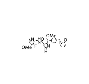 COCC(c1ccc(Cn2ccccc2=O)cc1)c1n[nH]cc1C(=O)NCc1nncc(OC)c1F